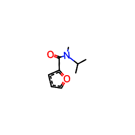 CC(C)N(C)C(=O)c1ccco1